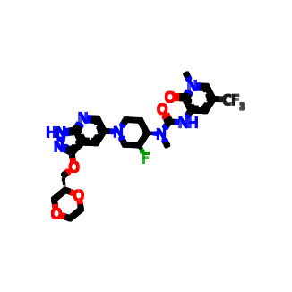 CN(C(=O)Nc1cc(C(F)(F)F)cn(C)c1=O)[C@@H]1CCN(c2cnc3[nH]nc(OC[C@H]4COCCO4)c3c2)C[C@@H]1F